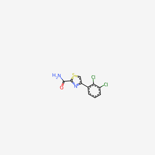 NC(=O)c1nc(-c2cccc(Cl)c2Cl)cs1